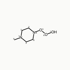 CN1CCN(OOO)CC1